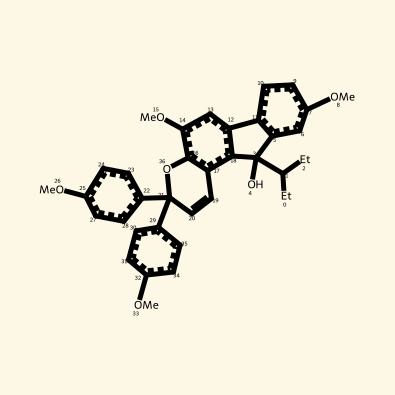 CCC(CC)C1(O)c2cc(OC)ccc2-c2cc(OC)c3c(c21)C=CC(c1ccc(OC)cc1)(c1ccc(OC)cc1)O3